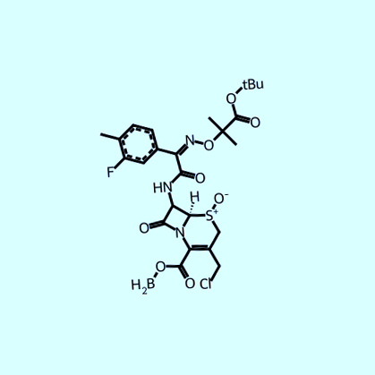 BOC(=O)C1=C(CCl)C[S+]([O-])[C@@H]2C(NC(=O)/C(=N\OC(C)(C)C(=O)OC(C)(C)C)c3ccc(C)c(F)c3)C(=O)N12